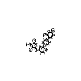 O=C1NC(=O)C(=Cc2ccnc(N3CCN(c4ccc(Cl)cc4F)CC3)n2)S1